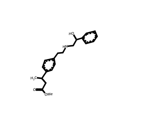 COC(=O)CC(C)c1ccc(CCNCC(O)c2ccccc2)cc1